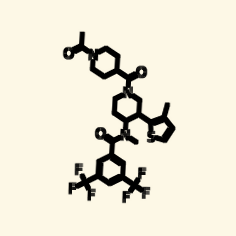 CC(=O)N1CCC(C(=O)N2CCC(N(C)C(=O)c3cc(C(F)(F)F)cc(C(F)(F)F)c3)C(c3sccc3C)C2)CC1